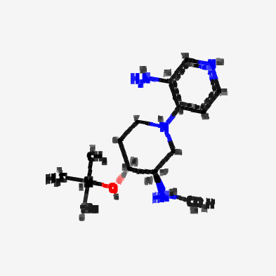 CC(C)(C)[Si](C)(C)O[C@@H]1CCN(c2ccncc2N)C[C@H]1NC(=O)O